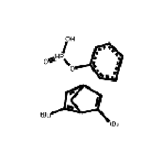 CC(C)(C)C1=CC2=CC(C(C)(C)C)=C1C2.O=[PH](O)Oc1ccccc1